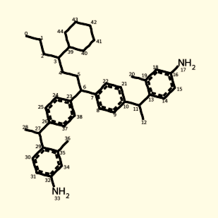 CCCC(CCC(c1ccc(C(C)c2ccc(N)cc2C)cc1)c1ccc(C(C)c2ccc(N)cc2C)cc1)C1CCCCC1